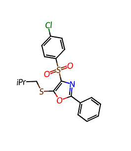 CC(C)CSc1oc(-c2ccccc2)nc1S(=O)(=O)c1ccc(Cl)cc1